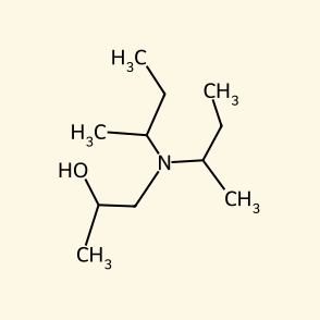 CCC(C)N(CC(C)O)C(C)CC